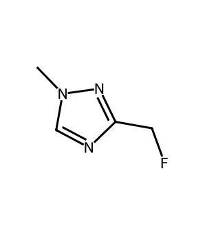 Cn1cnc(CF)n1